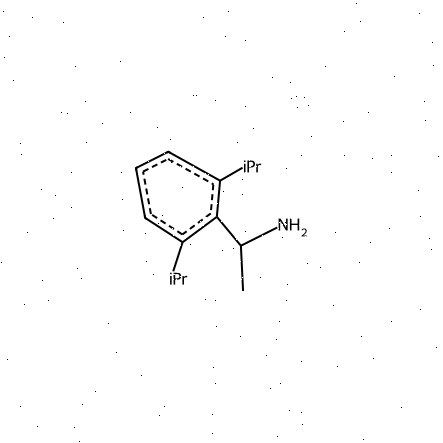 CC(C)c1cccc(C(C)C)c1C(C)N